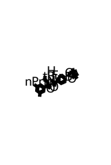 CCCC(N(NC(=O)c1ccc(B2OC(C)(C)C(C)(C)O2)cc1F)C(=O)c1cc(C)cc(C)c1)C(C)(C)C